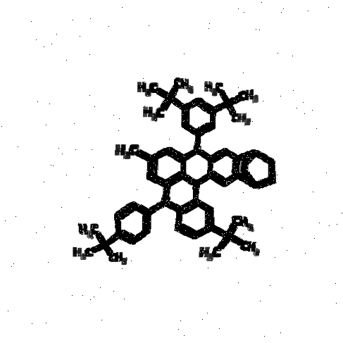 Cc1cc2c3c(c1)N(c1cc(C(C)(C)C)cc(C(C)(C)C)c1)c1cc4c(cc1B3c1cc(C(C)(C)C)ccc1N2c1ccc(C(C)(C)C)cc1)C1CCC4CC1